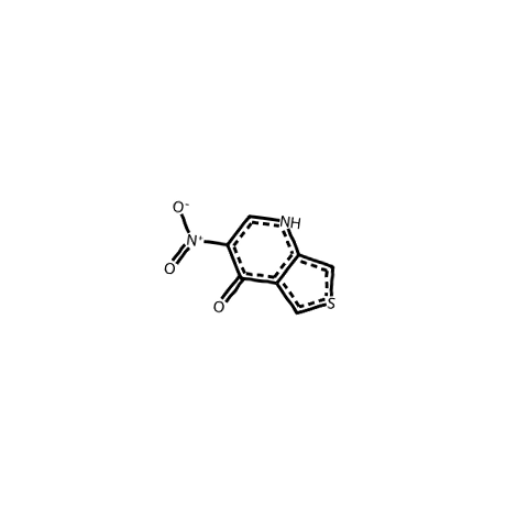 O=c1c([N+](=O)[O-])c[nH]c2cscc12